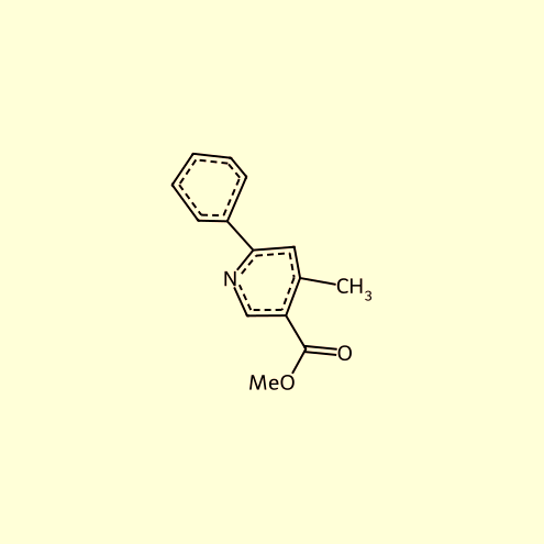 COC(=O)c1cnc(-c2ccccc2)cc1C